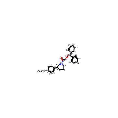 COc1ccc(C2CCCN(C(=O)COC(c3ccccc3)c3ccccc3)C2)cc1